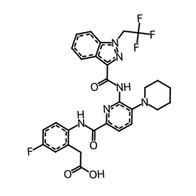 O=C(O)Cc1cc(F)ccc1NC(=O)c1ccc(N2CCCCC2)c(NC(=O)c2nn(CC(F)(F)F)c3ccccc23)n1